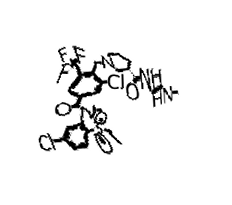 CCS(=O)(=O)c1ccc(Cl)cc1N(C)C(=O)c1cc(Cl)c(CN2CCC[C@H](C(=O)NCCNC)C2)c(C(F)(F)F)c1